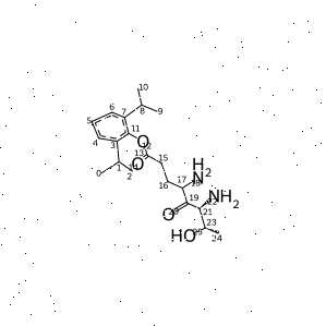 CC(C)c1cccc(C(C)C)c1OC(=O)CCC(N)C(=O)[C@@H](N)[C@@H](C)O